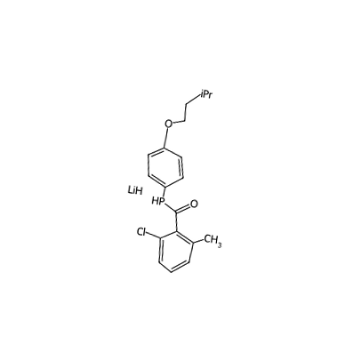 Cc1cccc(Cl)c1C(=O)Pc1ccc(OCCC(C)C)cc1.[LiH]